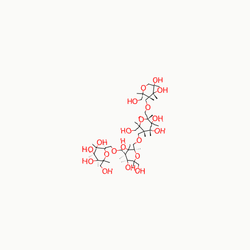 CC1(O)[C@@](C)(COC[C@@]2(C)C(C)(O)[C@@](C)(COC[C@]3(C)C(C)(CO)O[C@](C)(COC[C@]4(C)C(C)(CO)OCC(C)(O)[C@]4(C)O)C(C)(O)[C@]3(C)O)OC(C)(CO)[C@@]2(C)O)OC(C)(CO)[C@@](C)(O)[C@@]1(C)O